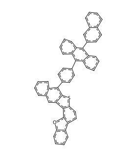 c1ccc2cc(-c3c4ccccc4c(-c4ccc(-c5c6ccccc6cc6c5sc5ccc7c8ccccc8oc7c56)cc4)c4ccccc34)ccc2c1